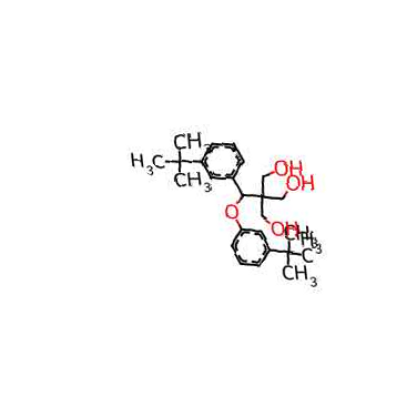 CC(C)(C)c1cccc(OC(c2cccc(C(C)(C)C)c2)C(CO)(CO)CO)c1